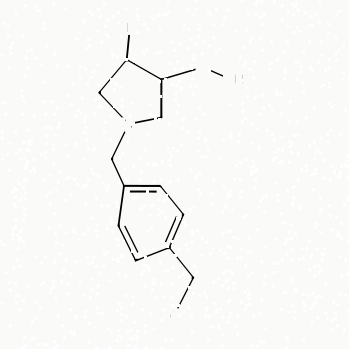 CCc1ccc(CN2CC(F)C(OC)C2)cc1